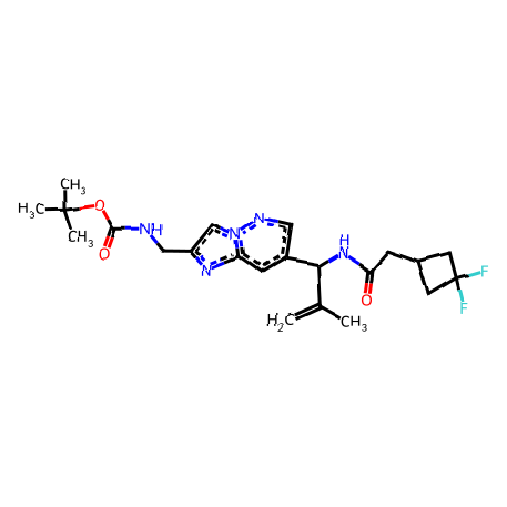 C=C(C)C(NC(=O)CC1CC(F)(F)C1)c1cnn2cc(CNC(=O)OC(C)(C)C)nc2c1